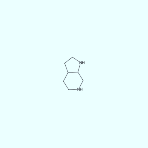 C1CC2CCNC2CN1